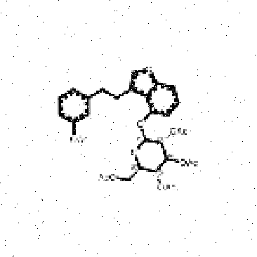 CC(=O)OC[C@H]1O[C@@H](Oc2cccc3occ(CCc4cccc(OC(C)=O)c4)c23)[C@H](OC(C)=O)[C@@H](OC(C)=O)[C@@H]1OC(C)=O